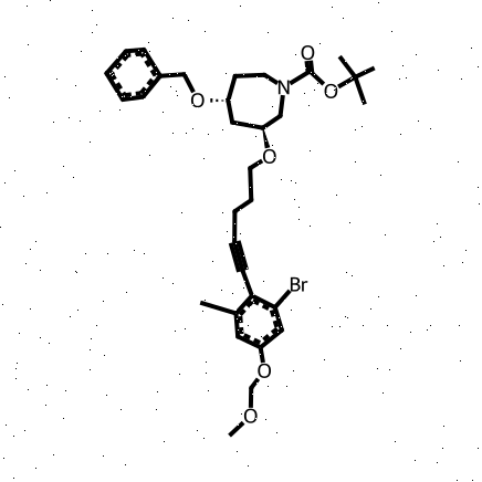 COCOc1cc(C)c(C#CCCCO[C@H]2C[C@H](OCc3ccccc3)CCN(C(=O)OC(C)(C)C)C2)c(Br)c1